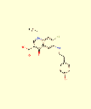 CCn1cc(C(=O)O)c(=O)c2cc(NCCc3ccc(Br)cc3)c(Cl)cc21